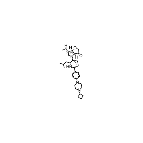 CN[C@H]1CN(C(=O)C(CC(C)C)NC(=O)c2ccc(N3CCN(C4CCC4)CC3)cc2)[C@@H]2C(=O)CO[C@H]12